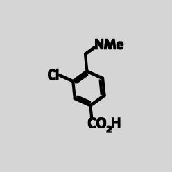 CNCc1ccc(C(=O)O)cc1Cl